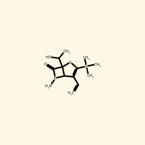 C=CC1=C([Si](C)(C)C)SC2(C(C)O)C(=O)N(N)C12